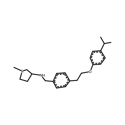 CC(C)c1ccc(OCCc2ccc(CNC3CCN(C)C3)cc2)cc1